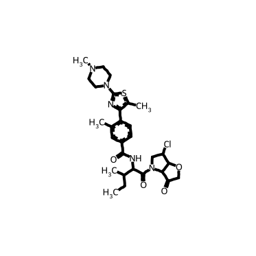 CCC(C)C(NC(=O)c1ccc(-c2nc(N3CCN(C)CC3)sc2C)c(C)c1)C(=O)N1CC(Cl)C2OCC(=O)C21